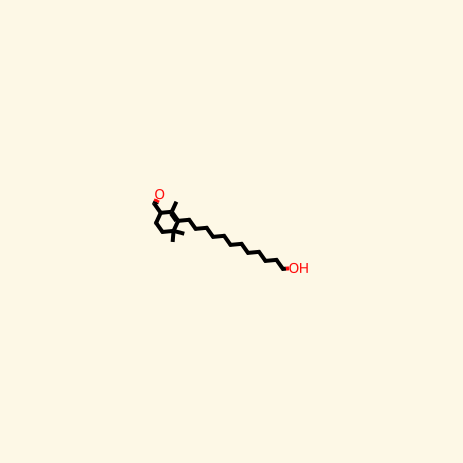 CC1=C(CCCCCCCCCCCCO)C(C)(C)CCC1C=O